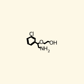 NCC(OCCO)c1cccc(Cl)c1